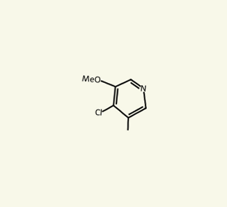 COc1cncc(C)c1Cl